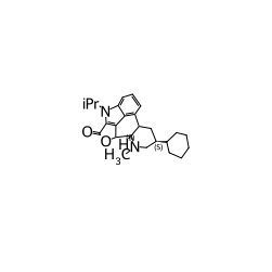 CC(C)n1c2c3c4c(cccc41)C1C[C@@H](C4CCCCC4)CN(C)[C@@H]1C3OC2=O